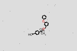 C#Cc1ccc(C(C)(C)COCc2cccc(Oc3ccccc3)c2)cc1